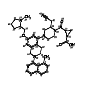 Cc1cccc2cccc(N3CCc4c(nc(OCC5CCCN5C)nc4N4CCN(C(=O)C5CN5C(=O)O)C(CC#N)C4)C3)c12